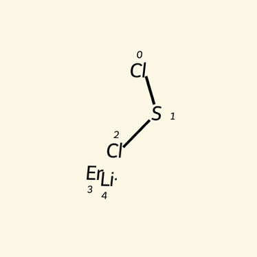 ClSCl.[Er].[Li]